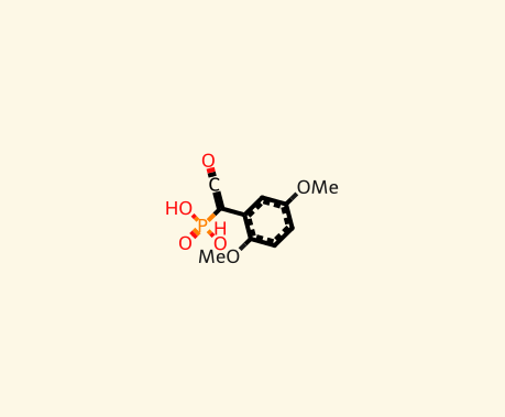 COc1ccc(OC)c(C(=C=O)P(=O)(O)O)c1